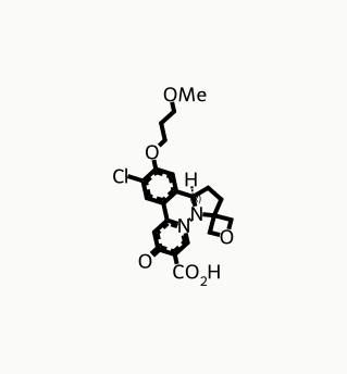 COCCCOc1cc2c(cc1Cl)-c1cc(=O)c(C(=O)O)cn1N1[C@@H]2CCC12COC2